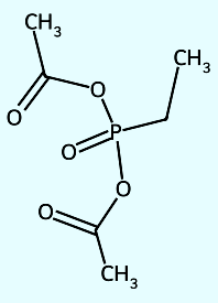 CCP(=O)(OC(C)=O)OC(C)=O